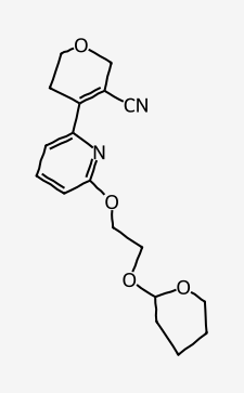 N#CC1=C(c2cccc(OCCOC3CCCCO3)n2)CCOC1